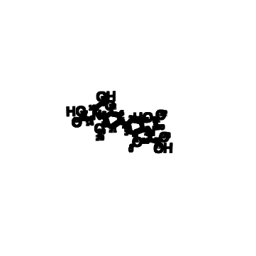 COc1cc(-c2ccc(N(CC(=O)O)CC(=O)O)c(OC)c2)ccc1N(CC(=O)O)CC(=O)O